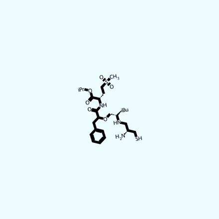 CC[C@H](C)[C@@H](COC(Cc1ccccc1)C(=O)N[C@@H](CCS(C)(=O)=O)C(=O)OC(C)C)NC[C@@H](N)CS